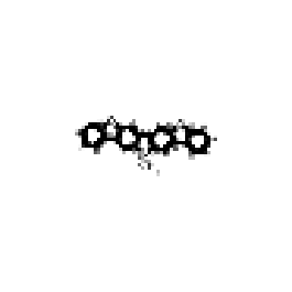 Cn1c2cc3c(cc2c2cc4oc5ccccc5c4cc21)oc1ccccc13